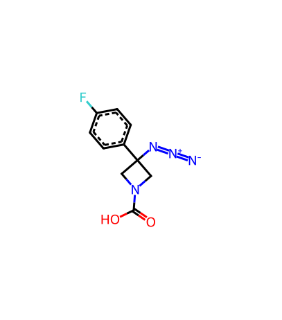 [N-]=[N+]=NC1(c2ccc(F)cc2)CN(C(=O)O)C1